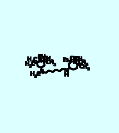 CCC1(C)CC(NCCCCCCN(C)C2CC(C)(C)N(C)C(C)(C)C2)CCC(C)(C)N1C